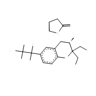 O=C1CCCN1[C@H]1c2cc(C(F)(F)C(F)(F)C(F)(F)F)ccc2OC(CF)(CF)[C@@H]1O